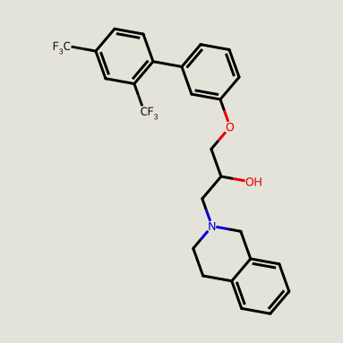 OC(COc1cccc(-c2ccc(C(F)(F)F)cc2C(F)(F)F)c1)CN1CCc2ccccc2C1